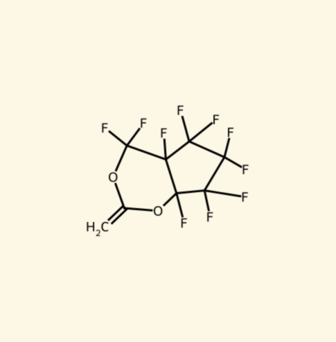 C=C1OC(F)(F)C2(F)C(F)(F)C(F)(F)C(F)(F)C2(F)O1